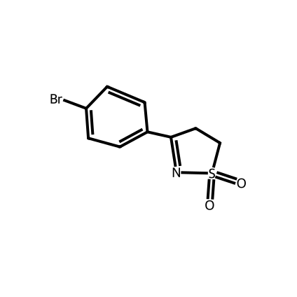 O=S1(=O)CCC(c2ccc(Br)cc2)=N1